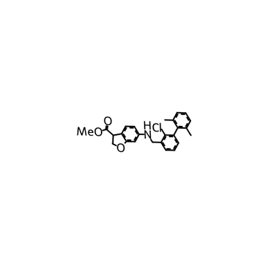 COC(=O)C1COc2cc(NCc3cccc(-c4c(C)cccc4C)c3Cl)ccc21